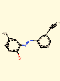 C#Cc1cccc(/N=N/c2cc(C)ccc2O)c1